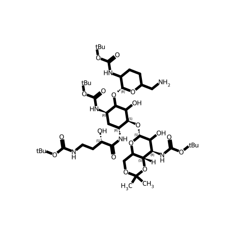 CC(C)(C)OC(=O)NCC[C@H](O)C(=O)N[C@@H]1C[C@@H](NC(=O)OC(C)(C)C)C(O[C@H]2OC(CN)CCC2NC(=O)OC(C)(C)C)C(O)[C@H]1O[C@H]1OC2COC(C)(C)O[C@H]2[C@H](NC(=O)OC(C)(C)C)C1O